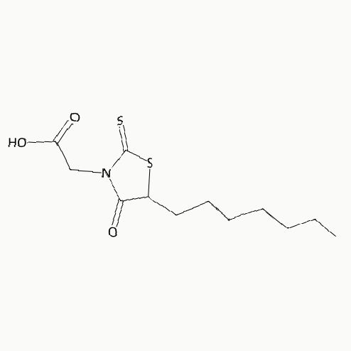 CCCCCCCC1SC(=S)N(CC(=O)O)C1=O